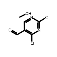 CO.O=Cc1cnc(Cl)nc1Cl